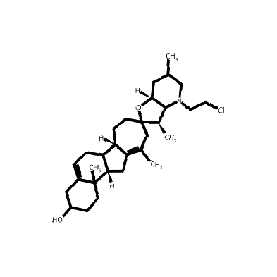 CC1=C2C[C@H]3C(CC=C4CC(O)CCC43C)[C@@H]2CCC2(C1)O[C@@H]1CC(C)CN(CCCl)C1[C@H]2C